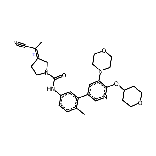 C/C(C#N)=C1/CCN(C(=O)Nc2ccc(C)c(-c3cnc(OC4CCOCC4)c(N4CCOCC4)c3)c2)C1